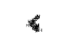 CN1CCN(c2ccc3[nH]c(-c4c(=O)[nH]cc5c(C#N)c(-c6nccc7c6OCCN7)[nH]c45)nc3c2)CC1